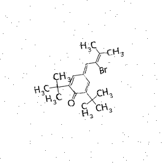 CC(C)=C(Br)C=C1C=C(C(C)(C)C)C(=O)C(C(C)(C)C)=C1